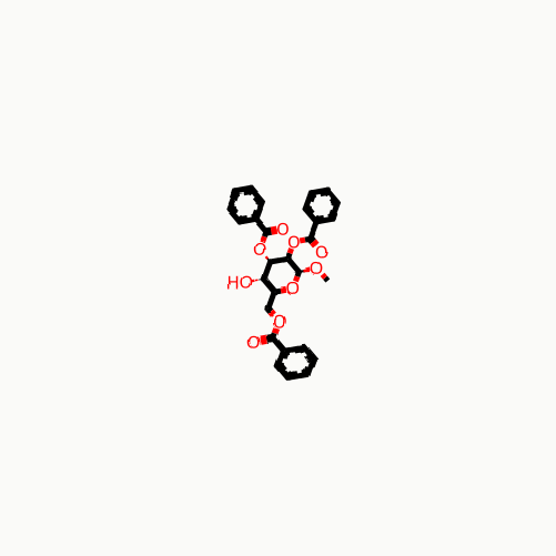 CO[C@H]1OC(COC(=O)c2ccccc2)[C@H](O)[C@H](OC(=O)c2ccccc2)C1OC(=O)c1ccccc1